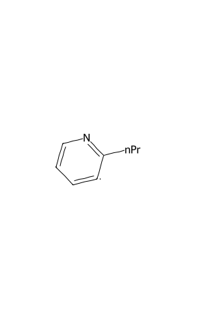 CCCc1[c]cccn1